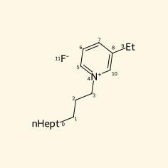 CCCCCCCCCC[n+]1cccc(CC)c1.[F-]